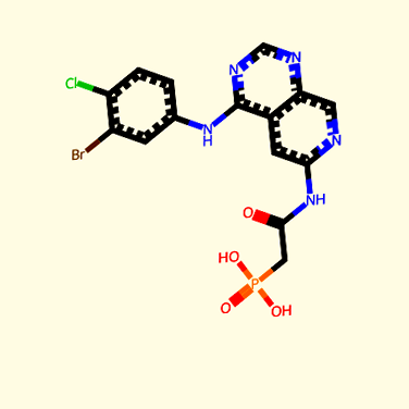 O=C(CP(=O)(O)O)Nc1cc2c(Nc3ccc(Cl)c(Br)c3)ncnc2cn1